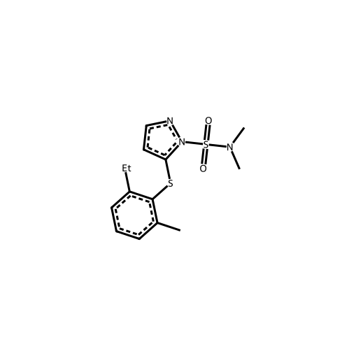 CCc1cccc(C)c1Sc1ccnn1S(=O)(=O)N(C)C